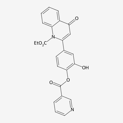 CCOC(=O)n1c(-c2ccc(OC(=O)c3cccnc3)c(O)c2)cc(=O)c2ccccc21